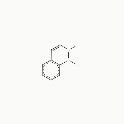 ON1C=Cc2ccccc2N1O